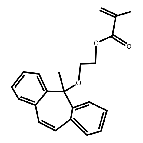 C=C(C)C(=O)OCCOC1(C)c2ccccc2C=Cc2ccccc21